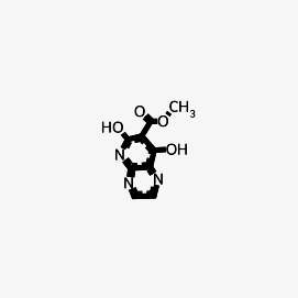 COC(=O)c1c(O)nc2nccnc2c1O